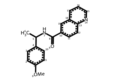 COc1ccc(C(C)NC(=O)c2ccc3ncccc3c2)cc1